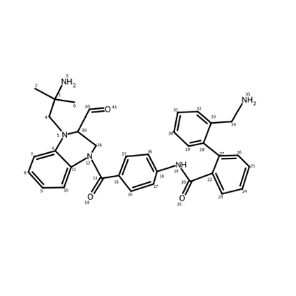 CC(C)(N)CN1c2ccccc2N(C(=O)c2ccc(NC(=O)c3ccccc3-c3ccccc3CN)cc2)CC1C=O